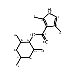 Cc1c[nH]c(C)c1C(=O)OC1C(C)CC(C)CC1C